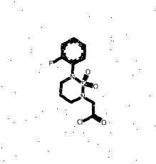 O=C(Cl)CN1CCCN(c2ccccc2F)S1(=O)=O